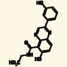 O=C(O)CNC(=O)c1c(O)ccc2nc(-c3cccc(O)c3)cnc12